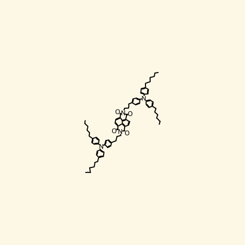 CCCCCCc1ccc(N(c2ccc(CCCCCC)cc2)c2ccc(CCCN3C(=O)c4ccc5c6c(ccc(c46)C3=O)C(=O)N(CCCc3ccc(N(c4ccc(CCCCCC)cc4)c4ccc(CCCCCC)cc4)cc3)C5=O)cc2)cc1